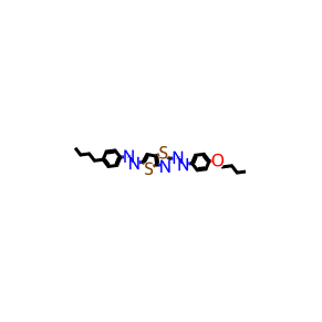 CCCCOc1ccc(N=Nc2nc3sc(N=Nc4ccc(CCCC)cc4)cc3s2)cc1